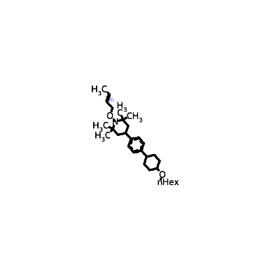 C/C=C/CON1C(C)(C)CC(c2ccc(C3CCC(OCCCCCC)CC3)cc2)CC1(C)C